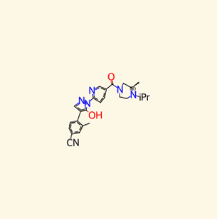 Cc1cc(C#N)ccc1-c1cnn(-c2ccc(C(=O)N3CCN(C(C)C)[C@H](C)C3)cn2)c1O